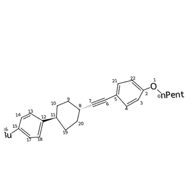 CCCCCOc1ccc(C#C[C@H]2CC[C@H](c3ccc(CCCC)cc3)CC2)cc1